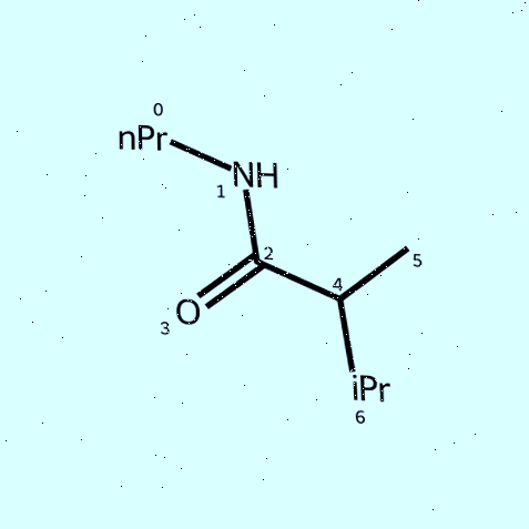 CCCNC(=O)C(C)C(C)C